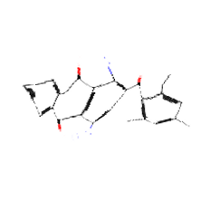 Cc1cc(C)c(C(=O)c2cc(N)c3c(c2N)C(=O)c2ccccc2C3=O)c(C)c1